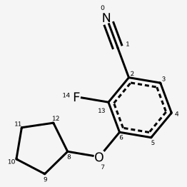 N#Cc1cccc(OC2CCCC2)c1F